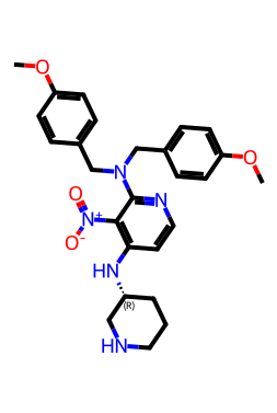 COc1ccc(CN(Cc2ccc(OC)cc2)c2nccc(N[C@@H]3CCCNC3)c2[N+](=O)[O-])cc1